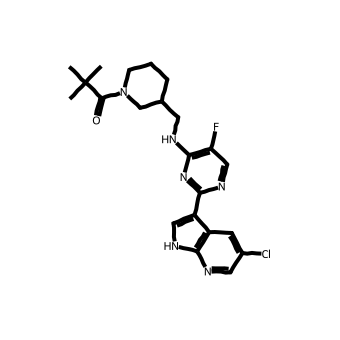 CC(C)(C)C(=O)N1CCCC(CNc2nc(-c3c[nH]c4ncc(Cl)cc34)ncc2F)C1